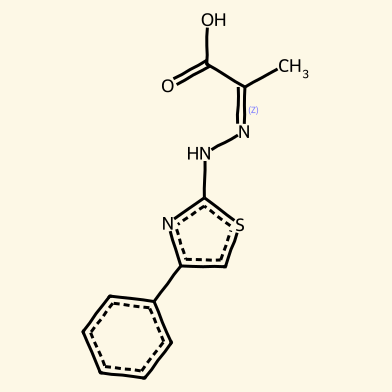 C/C(=N/Nc1nc(-c2ccccc2)cs1)C(=O)O